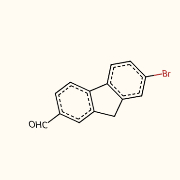 O=Cc1ccc2c(c1)Cc1cc(Br)ccc1-2